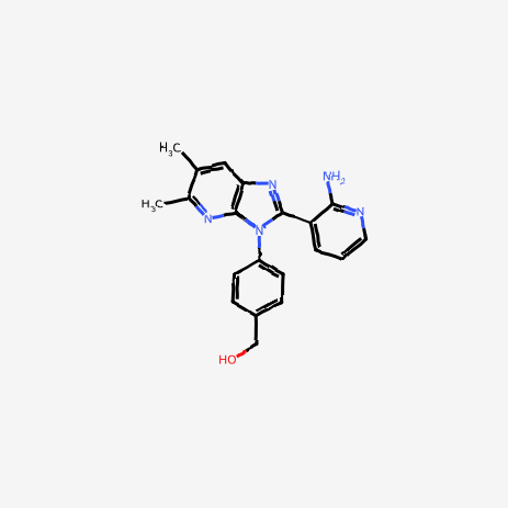 Cc1cc2nc(-c3cccnc3N)n(-c3ccc(CO)cc3)c2nc1C